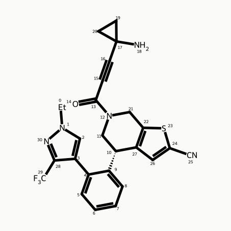 CCn1cc(-c2ccccc2[C@@H]2CN(C(=O)C#CC3(N)CC3)Cc3sc(C#N)cc32)c(C(F)(F)F)n1